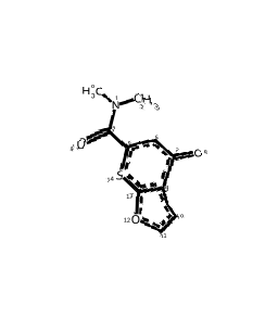 CN(C)C(=O)c1cc(=O)c2ccoc2s1